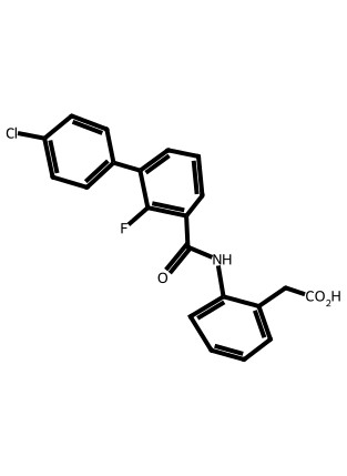 O=C(O)Cc1ccccc1NC(=O)c1cccc(-c2ccc(Cl)cc2)c1F